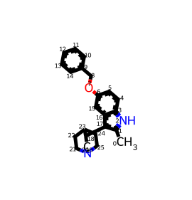 Cc1[nH]c2ccc(OCc3ccccc3)cc2c1C1CN2CCC1CC2